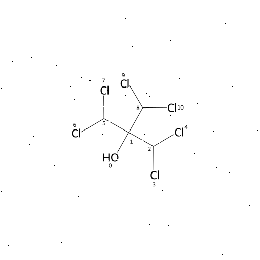 OC(C(Cl)Cl)(C(Cl)Cl)C(Cl)Cl